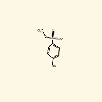 CCC(C)c1ccc(S(=O)(=O)OC(Cl)(Cl)Cl)cc1